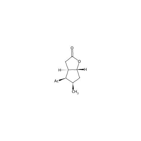 CC(=O)[C@H]1[C@H]2CC(=O)O[C@@H]2C[C@H]1C